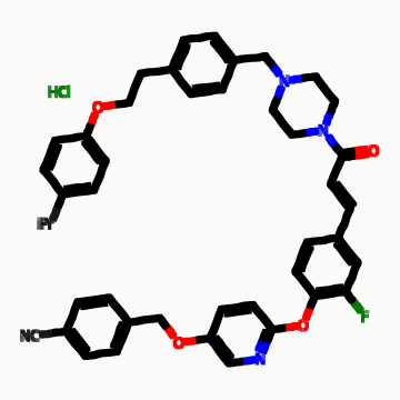 CC(C)c1ccc(OCCc2ccc(CN3CCN(C(=O)/C=C/c4ccc(Oc5ccc(OCc6ccc(C#N)cc6)cn5)c(F)c4)CC3)cc2)cc1.Cl